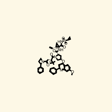 C=C[C@@H]1C[C@]1(NC(=O)[C@@H]1C[C@@H](Oc2cc(-c3ccccc3)nc3cc(OC)ccc23)CN1C(=O)[C@@H](CC(=O)N1CCC1c1ccccc1)C(C)(C)C)C(=O)NS(=O)(=O)C1CC1